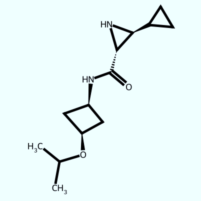 CC(C)O[C@H]1C[C@@H](NC(=O)[C@@H]2N[C@H]2C2CC2)C1